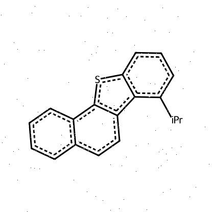 CC(C)c1cccc2sc3c4ccccc4ccc3c12